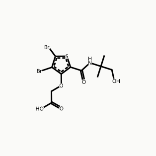 CC(C)(CO)NC(=O)c1sc(Br)c(Br)c1OCC(=O)O